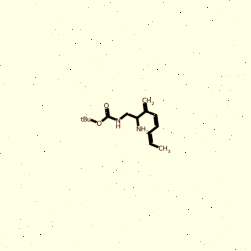 C=C(/C=C\C=C/C)C(N)CNC(=O)OC(C)(C)C